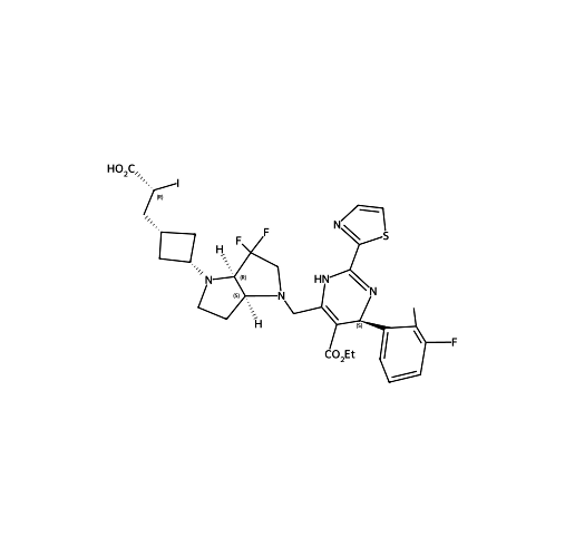 CCOC(=O)C1=C(CN2CC(F)(F)[C@H]3[C@@H]2CCN3[C@H]2C[C@@H](C[C@@H](I)C(=O)O)C2)NC(c2nccs2)=N[C@H]1c1cccc(F)c1C